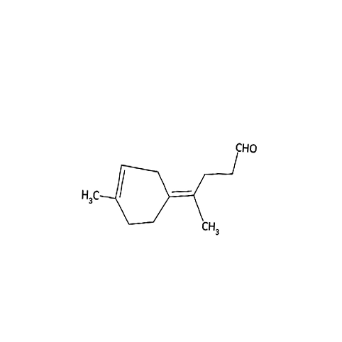 CC1=CCC(=C(C)CCC=O)CC1